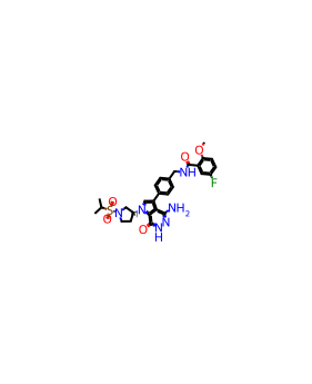 COc1ccc(F)cc1C(=O)NCc1ccc(-c2cn([C@@H]3CCN(S(=O)(=O)C(C)C)C3)c3c(=O)[nH]nc(N)c23)cc1